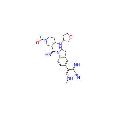 CN/C=C(\C(=N)C#N)c1ccc2c(c1)CCN2C(=N)C1=C(NC2CCOC2)CCN(C(C)=O)C1